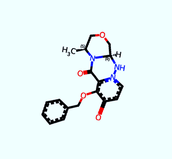 C[C@H]1COC[C@H]2Nn3ccc(=O)c(OCc4ccccc4)c3C(=O)N12